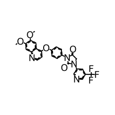 COc1cc2nccc(Oc3ccc(N4C(=O)CN(c5cncc(C(F)(F)F)c5)C4=O)cc3)c2cc1OC